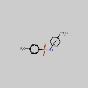 O=C(O)C12CCC(NS(=O)(=O)c3ccc(C(F)(F)F)cc3)(CC1)CC2